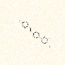 CCCC(O)c1ccc(/C=C/c2ccc(-c3ccc(OCC)c(F)c3F)cc2)c(F)c1